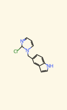 ClC1N=CC=CN1Cc1ccc2[nH]ccc2c1